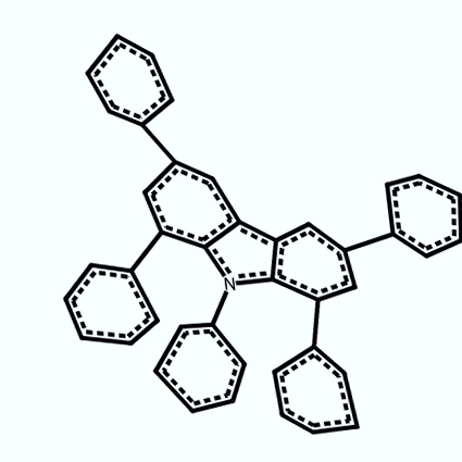 c1ccc(-c2cc(-c3ccccc3)c3c(c2)c2cc(-c4ccccc4)cc(-c4ccccc4)c2n3-c2ccccc2)cc1